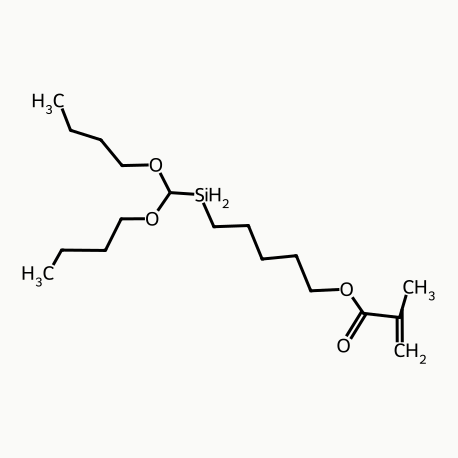 C=C(C)C(=O)OCCCCC[SiH2]C(OCCCC)OCCCC